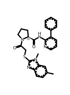 Cc1ccc2nc(SCC(=O)N3CCC[C@H]3C(=O)Nc3ncccc3-c3ccccc3)n(C)c2c1